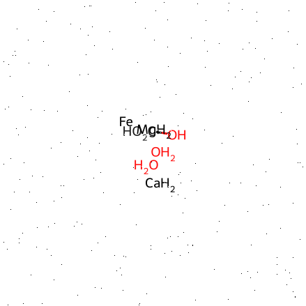 O.O.O=C(O)O.[CaH2].[Fe].[MgH2]